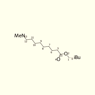 CC[C@@H](C)COC(=O)CCCCCCCCNC